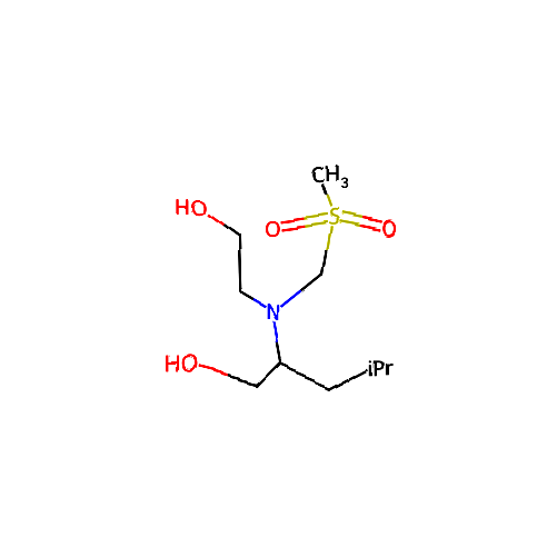 CC(C)CC(CO)N(CCO)CS(C)(=O)=O